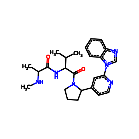 CNC(C)C(=O)NC(C(=O)N1CCCC1c1ccnc(-n2cnc3ccccc32)c1)C(C)C